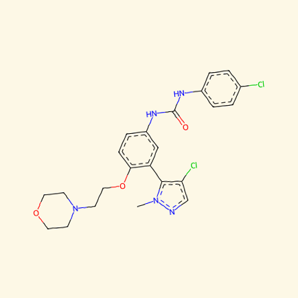 Cn1ncc(Cl)c1-c1cc(NC(=O)Nc2ccc(Cl)cc2)ccc1OCCN1CCOCC1